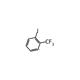 FC(F)(F)c1[c]cccc1I